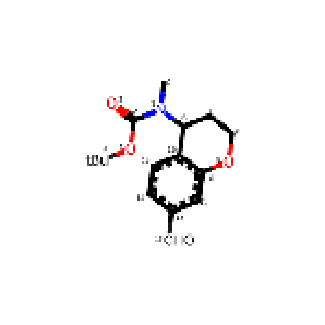 CN(C(=O)OC(C)(C)C)C1CCOc2cc(C=O)ccc21